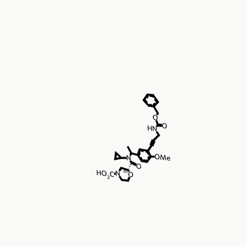 COc1ccc(C(C)N(C(=O)[C@H]2CN(C(=O)O)CCO2)C2CC2)cc1C#CCNC(=O)OCc1ccccc1